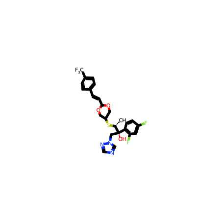 C[C@@H](SC1COC(/C=C/c2ccc(C(F)(F)F)cc2)OC1)[C@](O)(Cn1cncn1)c1ccc(F)cc1F